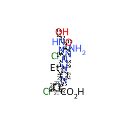 CC[C@H]1CN(c2nc(N)c(C(=O)NCCO)nc2Cl)CCN1C1CCN(Cc2ccc(Cl)cc2C(=O)O)CC1